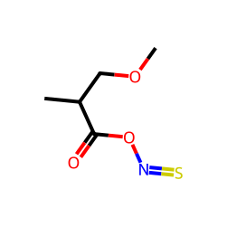 COCC(C)C(=O)ON=S